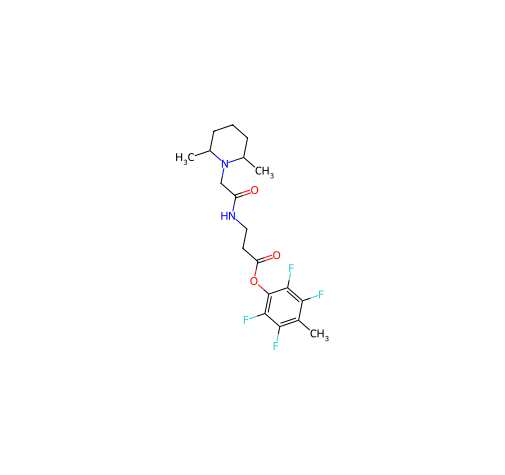 Cc1c(F)c(F)c(OC(=O)CCNC(=O)CN2C(C)CCCC2C)c(F)c1F